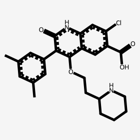 Cc1cc(C)cc(-c2c(OCCC3CCCCN3)c3cc(C(=O)O)c(Cl)cc3[nH]c2=O)c1